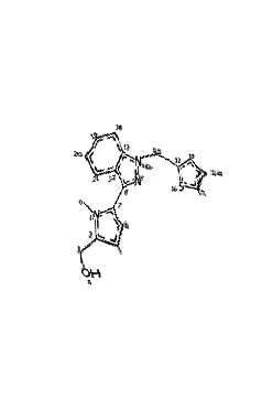 Cn1c(CO)ccc1-c1nn(Cc2cccs2)c2ccccc12